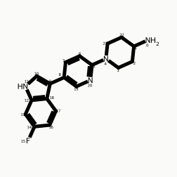 NC1CCN(c2ccc(-c3c[nH]c4cc(F)ccc34)cn2)CC1